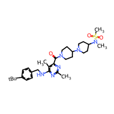 Cc1nc(NCc2ccc(C(C)(C)C)cc2)c(C)c(C(=O)N2CCC(N3CCC(N(C)S(C)(=O)=O)CC3)CC2)n1